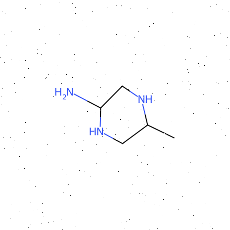 CC1CNC(N)CN1